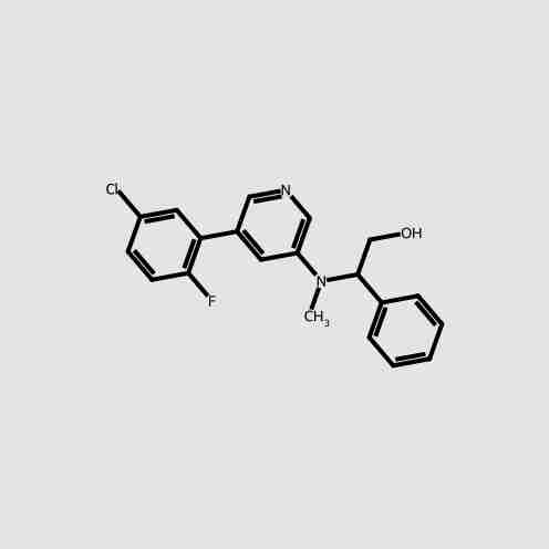 CN(c1cncc(-c2cc(Cl)ccc2F)c1)C(CO)c1ccccc1